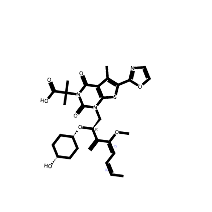 C=C(/C(=C\C=C/C)OC)[C@H](Cn1c(=O)n(C(C)(C)C(=O)O)c(=O)c2c(C)c(-c3ncco3)sc21)O[C@H]1CC[C@@H](O)CC1